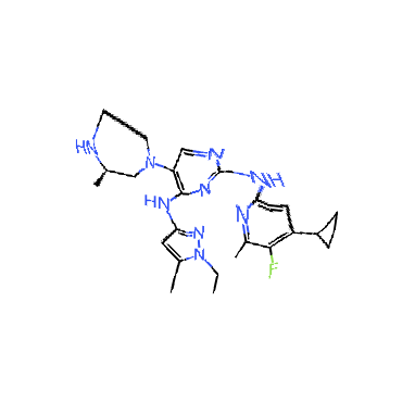 CCn1nc(Nc2nc(Nc3cc(C4CC4)c(F)c(C)n3)ncc2N2CCN[C@H](C)C2)cc1C